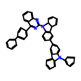 C1=CC2c3cc(-c4ccc5c(c4)c4ccccc4n5-c4ccccc4)ccc3N(c3nc(-c4ccc(-c5ccccc5)cc4)c4ccccc4n3)C2C=C1